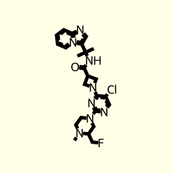 CN1CCN(c2ncc(Cl)c(N3CC(C(=O)NC(C)(C)c4cnc5ccccn45)C3)n2)CC1CF